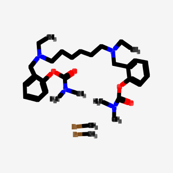 CBr.CBr.CCN(CCCCCCN(CC)Cc1ccccc1OC(=O)N(C)C)Cc1ccccc1OC(=O)N(C)C